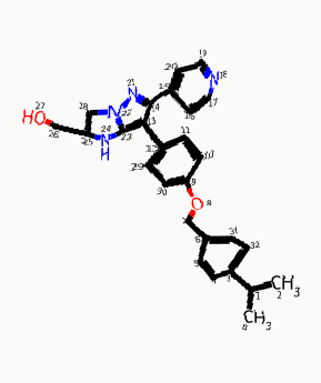 CC(C)c1ccc(COc2ccc(-c3c(-c4ccncc4)nn4c3NC(CO)C4)cc2)cc1